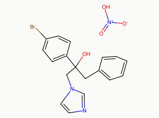 O=[N+]([O-])O.OC(Cc1ccccc1)(Cn1ccnc1)c1ccc(Br)cc1